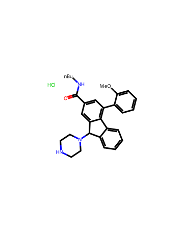 CCCCNC(=O)c1cc(-c2ccccc2OC)c2c(c1)C(N1CCNCC1)c1ccccc1-2.Cl